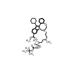 COC(=O)c1ccc2c(C3CCCCC3)c3n(c2c1)C[C@@H](CCCN(C)CCN(C)S(=O)(=O)NC(=O)OC(C)(C)C)COc1ccccc1-3